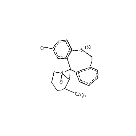 CC[N+]12CCCC(C(=O)O)C1[C@]21c2ccccc2CSc2ccc(Cl)cc21.Cl